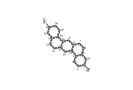 Fc1ccc2c(ccc3cc4c(ccc5cc(F)ccc54)cc32)c1